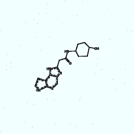 O=C(Cc1nc2cnc3[nH]ccc3c2[nH]1)NC1CCC(O)CC1